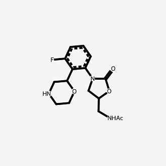 CC(=O)NCC1CN(c2cccc(F)c2C2CNCCO2)C(=O)O1